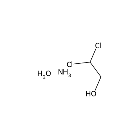 N.O.OCC(Cl)Cl